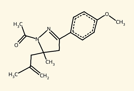 C=C(C)CC1(C)CC(c2ccc(OC)cc2)=NN1C(C)=O